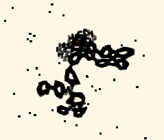 CC(CC(c1ccc(-c2ccc3c(c2)C2(c4ccccc4-3)c3ccccc3-c3ccc(-c4ccc5c(c4)c4cc(-c6ccc(N(c7ccc(-c8ccccc8)cc7)c7ccc8c9ccccc9n(-c9ccccc9)c8c7)cc6)ccc4n5-c4ccccc4)cc32)cc1)C(C)C(C)(C)C)C(C)(C)C